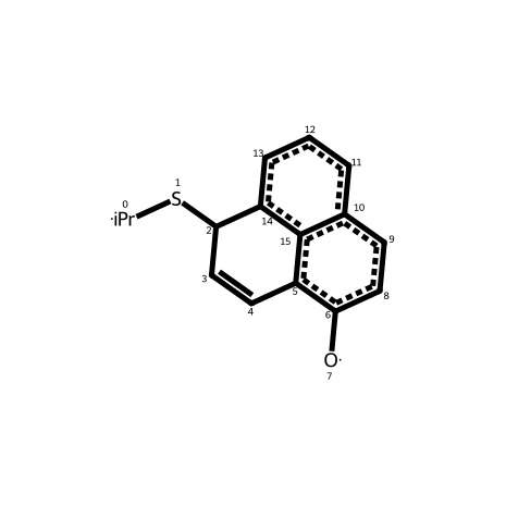 C[C](C)SC1C=Cc2c([O])ccc3cccc1c23